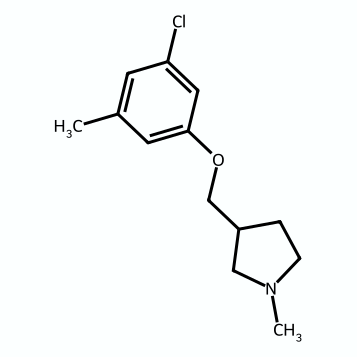 Cc1cc(Cl)cc(OCC2CCN(C)C2)c1